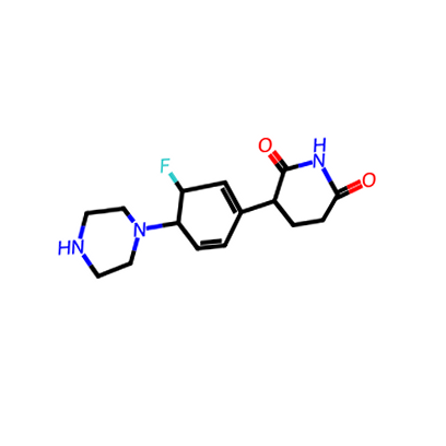 O=C1CCC(C2=CC(F)C(N3CCNCC3)C=C2)C(=O)N1